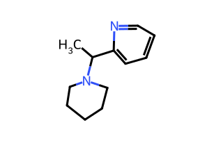 CC(c1ccccn1)N1CCCCC1